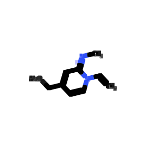 C=Cn1ccc(COC)c/c1=N/C